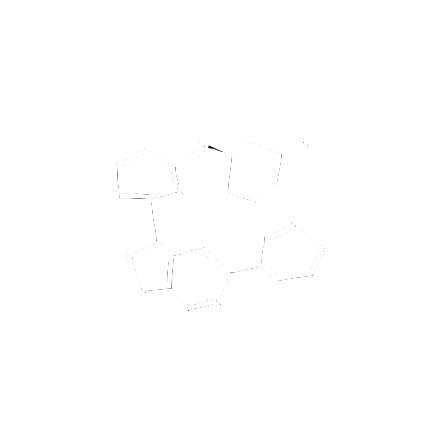 N[C@@H]1CCC[C@@H](Nc2cccc(-c3n[nH]c4cnc(-c5cccnc5)cc34)n2)C1